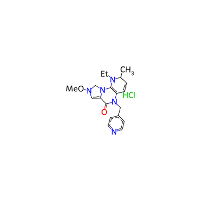 CCN1C2=C(C=CC1C)N(Cc1ccncc1)C(=O)C1=CN(OC)CN12.Cl